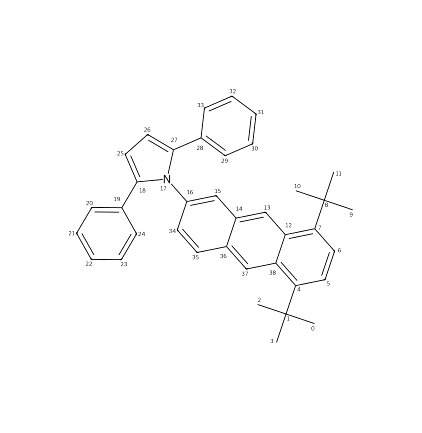 CC(C)(C)c1ccc(C(C)(C)C)c2cc3cc(-n4c(-c5ccccc5)ccc4-c4ccccc4)ccc3cc12